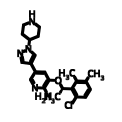 Cc1ccc(Cl)c([C@@H](C)Oc2cc(-c3cnn(C4CCNCC4)c3)cnc2N)c1C